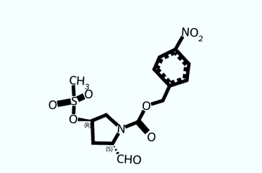 CS(=O)(=O)O[C@@H]1C[C@@H](C=O)N(C(=O)OCc2ccc([N+](=O)[O-])cc2)C1